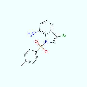 Cc1ccc(S(=O)(=O)n2cc(Br)c3cccc(N)c32)cc1